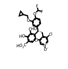 O=Cc1c([C@@H](Cc2c(Cl)c[n+]([O-])cc2Cl)c2ccc(OC(F)F)c(OCC3CC3)c2)ccc(C(=O)O)c1O